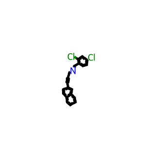 Clc1ccc(C=NCC#Cc2ccc3ccccc3c2)c(Cl)c1